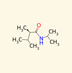 CC(C)NC(=O)[C@H](C)C(C)C